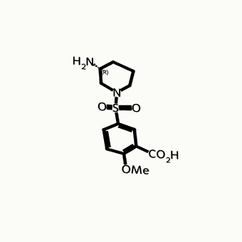 COc1ccc(S(=O)(=O)N2CCC[C@@H](N)C2)cc1C(=O)O